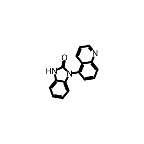 O=c1[nH]c2ccccc2n1-c1cccc2ncccc12